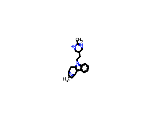 CC1=NCC(CCn2c3c(c4ccccc42)C2CCC(C3)N2C)CN1